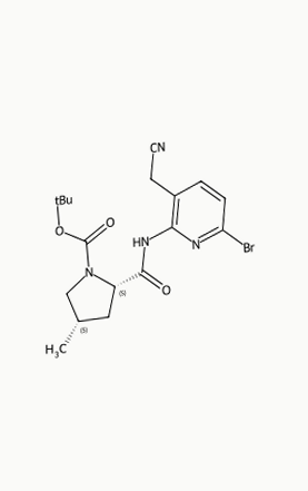 C[C@H]1C[C@@H](C(=O)Nc2nc(Br)ccc2CC#N)N(C(=O)OC(C)(C)C)C1